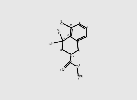 CC(C)(C)OC(=O)N1Cc2cccc(Cl)c2C(F)(F)C1